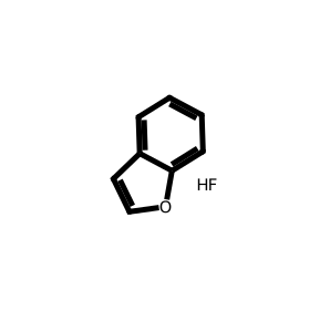 F.c1ccc2occc2c1